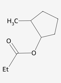 CCC(=O)OC1CCCC1C